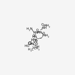 CC(C)C[C@H](NC(=O)[C@H](Cc1ccc(O)cc1)NC(=O)[C@@H]1C/C=C/C[C@H](N)C(=O)N[C@@H](CCCNC(N)=O)C(=O)N[C@@H](CCCCN)C(=O)N1)C(=O)O